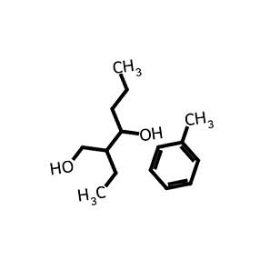 CCCC(O)C(CC)CO.Cc1ccccc1